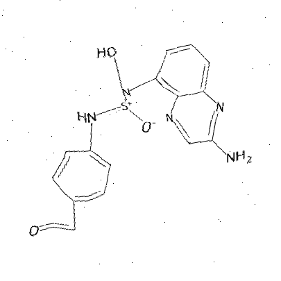 Nc1cnc2c(N(O)[S+]([O-])Nc3ccc(C=O)cc3)cccc2n1